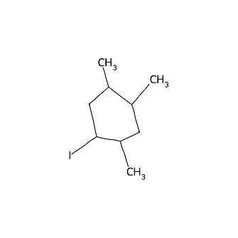 CC1CC(C)C(I)CC1C